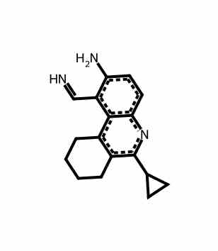 N=Cc1c(N)ccc2nc(C3CC3)c3c(c12)CCCC3